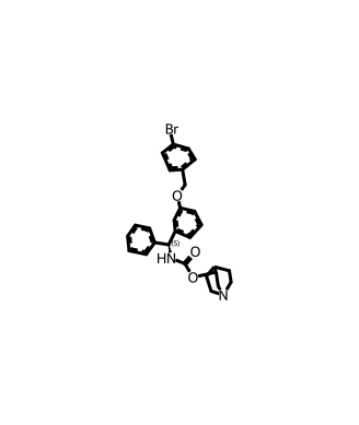 O=C(N[C@@H](c1ccccc1)c1cccc(OCc2ccc(Br)cc2)c1)OC1CN2CCC1CC2